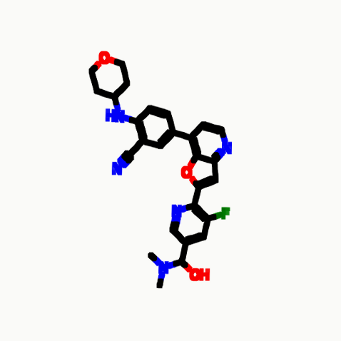 CN(C)C(O)c1cnc(-c2cc3nccc(-c4ccc(NC5CCOCC5)c(C#N)c4)c3o2)c(F)c1